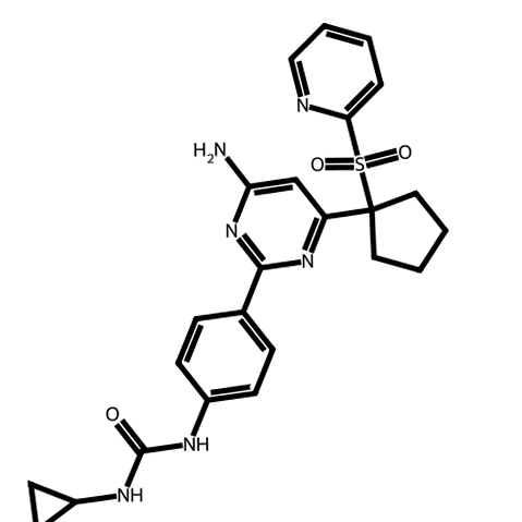 Nc1cc(C2(S(=O)(=O)c3ccccn3)CCCC2)nc(-c2ccc(NC(=O)NC3CC3)cc2)n1